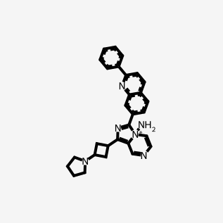 N[N+]12C=CN=CC1=C(C1CC(N3CCCC3)C1)N=C2c1ccc2ccc(-c3ccccc3)nc2c1